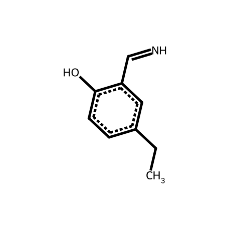 CCc1ccc(O)c(C=N)c1